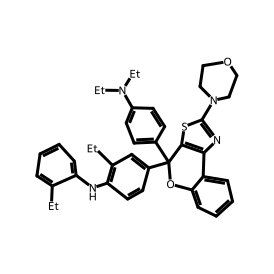 CCc1ccccc1Nc1ccc(C2(c3ccc(N(CC)CC)cc3)Oc3ccccc3-c3nc(N4CCOCC4)sc32)cc1CC